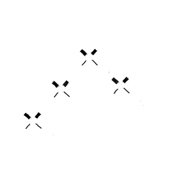 O=S(=O)([O-])C(F)(F)F.O=S(=O)([O-])C(F)(F)F.O=S(=O)([O-])C(F)(F)F.O=S(=O)([O-])C(F)(F)F.[Al+].[Ga+3]